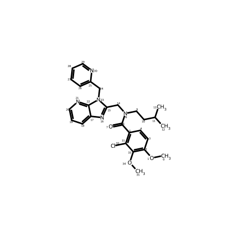 COc1ccc(C(=O)N(CCC(C)C)Cc2nc3cccnc3n2Cc2ccccn2)c(Cl)c1OC